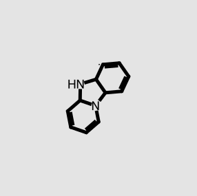 [C]1=CC=CC2C1NC1C=CC=CN12